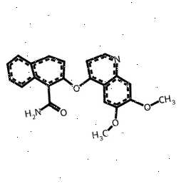 COc1cc2nccc(Oc3ccc4ccccc4c3C(N)=O)c2cc1OC